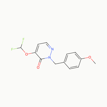 COc1ccc(Cn2nccc(OC(F)F)c2=O)cc1